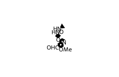 COc1cc2nccc(OC3CC(NC(=O)NC4CC4)C3)c2cc1C=O